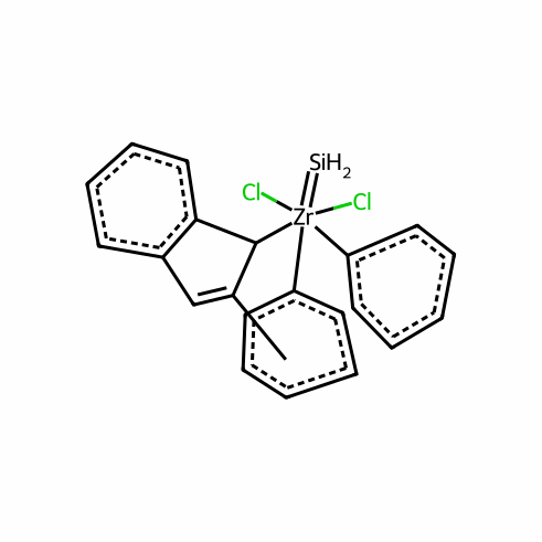 CC1=Cc2ccccc2[CH]1[Zr](=[SiH2])([Cl])([Cl])([c]1ccccc1)[c]1ccccc1